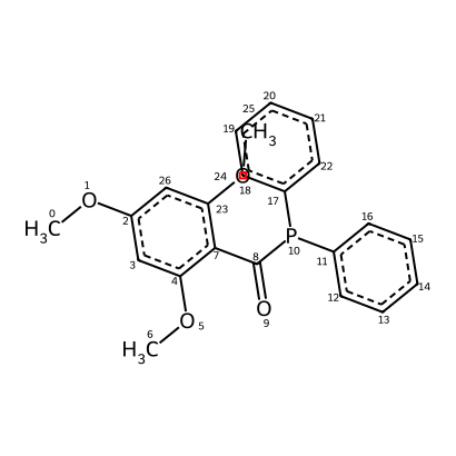 COc1cc(OC)c(C(=O)P(c2ccccc2)c2ccccc2)c(OC)c1